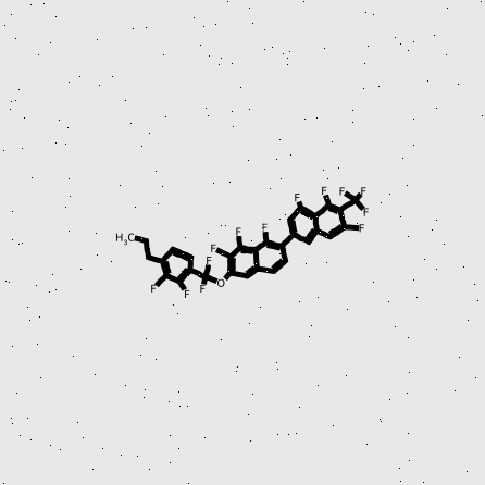 CCCc1ccc(C(F)(F)Oc2cc3ccc(-c4cc(F)c5c(F)c(C(F)(F)F)c(F)cc5c4)c(F)c3c(F)c2F)c(F)c1F